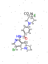 CCC1CCCN1Cc1cc(NC(=O)c2ccc(N3CCC(F)(C(=O)O)CC3)cc2)ncc1Br